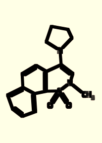 CN1C=C(N2CCCC2)c2ccc3ccccc3c2S1(=O)=O